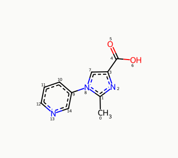 Cc1nc(C(=O)O)cn1-c1cccnc1